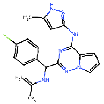 C=C(NC(c1ccc(F)cc1)c1nc(Nc2cc(C)[nH]n2)c2cccn2n1)C(F)(F)F